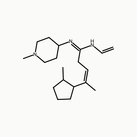 C=CN/C(C/C=C(/C)C1CCCC1C)=N/C1CCN(C)CC1